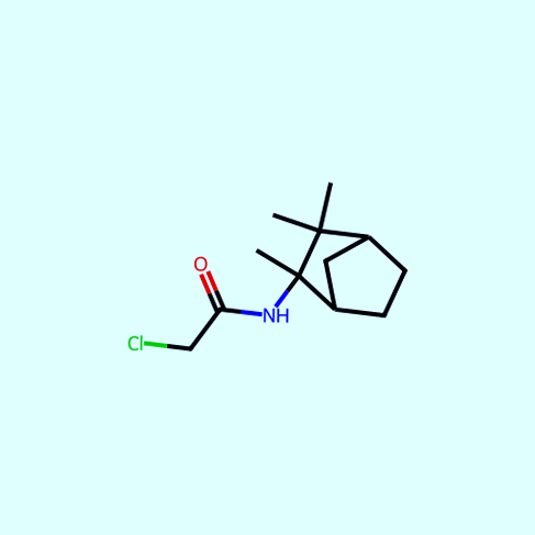 CC1(C)C2CCC(C2)C1(C)NC(=O)CCl